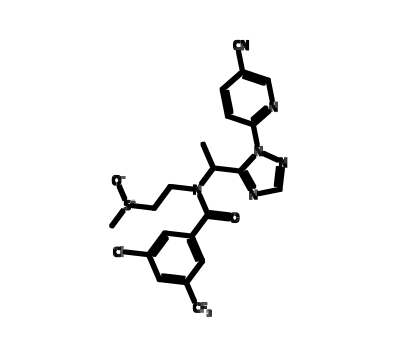 CC(c1ncnn1-c1ccc(C#N)cn1)N(CC[S+](C)[O-])C(=O)c1cc(Cl)cc(C(F)(F)F)c1